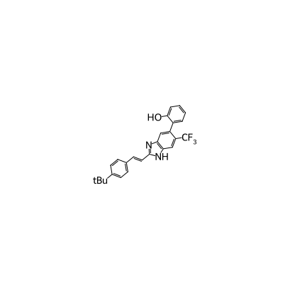 CC(C)(C)c1ccc(C=Cc2nc3cc(-c4ccccc4O)c(C(F)(F)F)cc3[nH]2)cc1